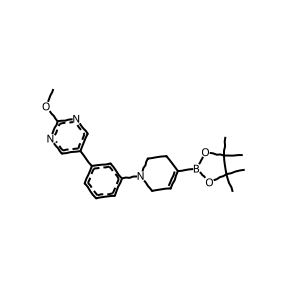 COc1ncc(-c2cccc(N3CC=C(B4OC(C)(C)C(C)(C)O4)CC3)c2)cn1